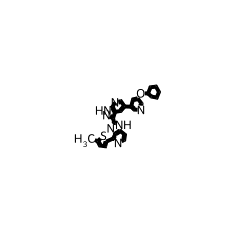 Cc1ccc(-c2nccc3[nH]c(-c4n[nH]c5ncc(-c6cncc(OC7CCCCC7)c6)cc45)nc23)s1